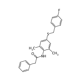 Cc1cc(SCc2ccc(F)cc2)cc(C)c1NC(=O)Cc1ccccc1